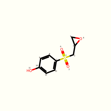 O=S(=O)(CC1CO1)c1ccc(O)cc1